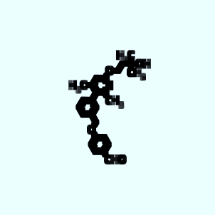 Cc1cc(OCCC(C)(C)O)nc(C)c1-c1cccc(COc2ccc(C=O)cc2)c1